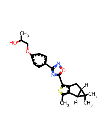 Cc1sc(-c2nc(-c3ccc(OCC(C)O)cc3)no2)c2c1[C@H]1[C@@H](C2)C1(C)C